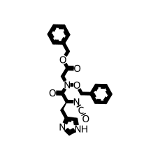 O=C=N[C@@H](Cc1c[nH]cn1)C(=O)N(CC(=O)OCc1ccccc1)OCc1ccccc1